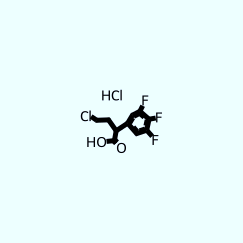 Cl.O=C(O)C(CCCl)c1cc(F)c(F)c(F)c1